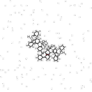 Cc1ccccc1-c1cc2c(c3c1oc1ccccc13)-c1ccc(N(c3ccc4c(c3)C(C)(C)c3cc(-c5ccccc5C)c5oc6ccccc6c5c3-4)c3ccccc3-c3ccccc3)cc1C2(C)C